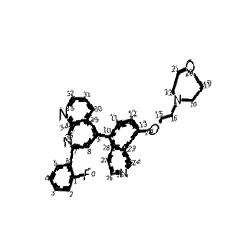 Fc1ccccc1-c1cc(-c2ccc(OCCN3CCOCC3)c3cnccc23)c2cccnc2n1